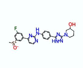 C[S+]([O-])c1cc(F)cc(-c2ccnc(Nc3ccc(-c4nc(N5CCCC(O)C5)n[nH]4)cc3)n2)c1